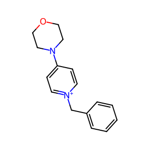 c1ccc(C[n+]2ccc(N3CCOCC3)cc2)cc1